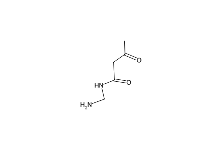 CC(=O)CC(=O)NCN